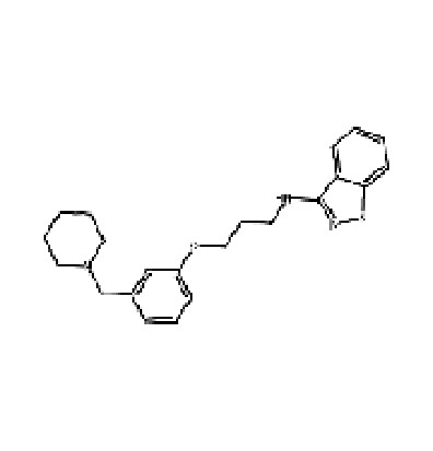 c1cc(CN2CCCCC2)cc(OCCCNc2nsc3ccccc23)c1